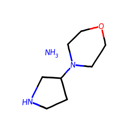 C1CC(N2CCOCC2)CN1.N